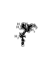 C[C@H](NC(=O)CN(C)C(=O)OC(C)(C)C)C(=O)OC[C@H](COc1ccc(-c2c(C#N)c(N)nc(SCc3coc(-c4ccc(Cl)cc4)n3)c2C#N)cc1)OC(=O)[C@H](C)NC(=O)CN(C)C(=O)OC(C)(C)C